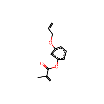 C=CCOc1cccc(OC(=O)C(=C)C)c1